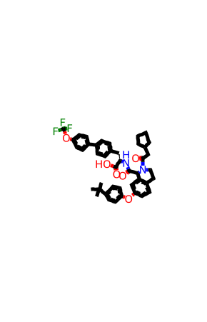 CC(C)(C)c1ccc(Oc2ccc3c(c2)C(C(=O)N[C@@H](Cc2ccc(-c4ccc(OC(F)(F)F)cc4)cc2)C(=O)O)N(C(=O)CC2CCCC2)CC3)cc1